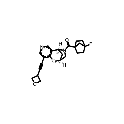 O=C(N1C[C@@H]2C[C@H]1c1cncc(C#CC3COC3)c1O2)C12CCC(F)(CC1)C2